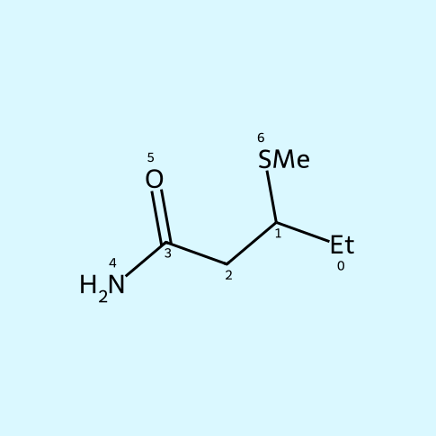 CCC(CC(N)=O)SC